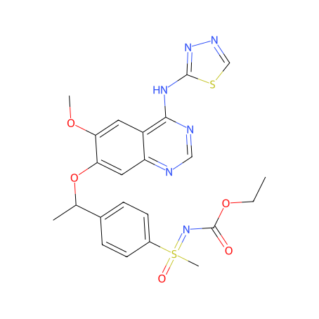 CCOC(=O)N=S(C)(=O)c1ccc(C(C)Oc2cc3ncnc(Nc4nncs4)c3cc2OC)cc1